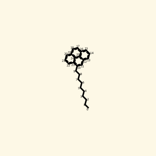 CCCCCCCCCCc1cc2cccc3ccc4c[c]cc1c4c32